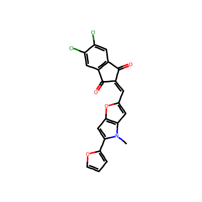 Cn1c(-c2ccco2)cc2oc(C=C3C(=O)c4cc(Cl)c(Cl)cc4C3=O)cc21